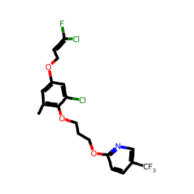 Cc1cc(OC/C=C(/F)Cl)cc(Cl)c1OCCCOc1ccc(C(F)(F)F)cn1